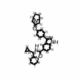 O=C(N[C@H](c1ccccn1)C1CC1)c1ccc2[nH]nc(-c3ccc(OC4CC5CCC(C4)N5)cc3)c2c1